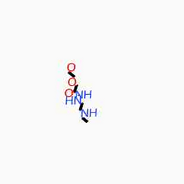 CCNCCNNC(=O)COCC=O